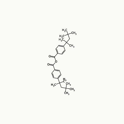 CC(C)(C)CC(C)(C)c1ccc(C(=O)OC(=O)c2ccc(C(C)(C)CC(C)(C)C)cc2)cc1